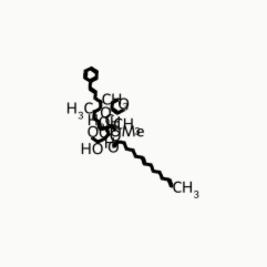 CC=CCCCCC=CCCCCC(=O)O[C@@H]1[C@H]2OC(CC[C@H](C)C(OC3=CCOCC3)C(C)CC=Cc3ccccc3)(OC[C@@H]2O)[C@]1(O)C(C)(C)OC